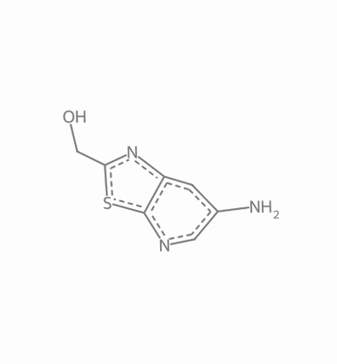 Nc1cnc2sc(CO)nc2c1